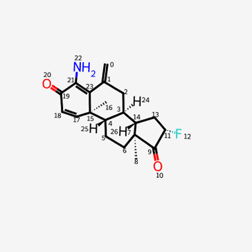 C=C1C[C@@H]2[C@H](CC[C@]3(C)C(=O)[C@@H](F)C[C@@H]23)[C@@]2(C)C=CC(=O)C(N)=C12